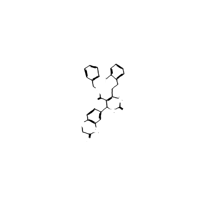 O=C1CSc2ccc(C3NC(=O)NC(CCc4ccccc4Cl)=C3C(=O)OCc3ccccc3)cc2N1